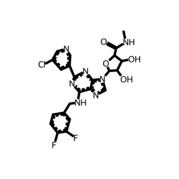 CNC(=O)C1OC(n2cnc3c(NCc4ccc(F)c(F)c4)nc(-c4cncc(Cl)c4)nc32)C(O)C1O